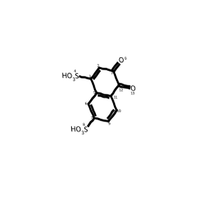 O=C1C=C(S(=O)(=O)O)c2cc(S(=O)(=O)O)ccc2C1=O